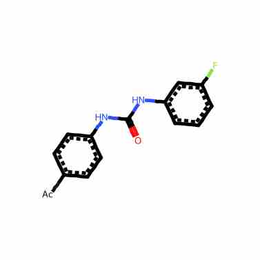 CC(=O)c1ccc(NC(=O)Nc2cccc(F)c2)cc1